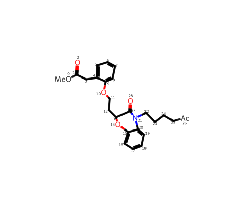 COC(=O)Cc1ccccc1OCCC1Oc2ccccc2N(CCCCC(C)=O)C1=O